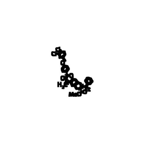 CC[C@@H](c1ccccc1)N1Cc2cc3c(cc2C[C@H]1C(=O)OC)N(C)C(=O)[C@@H](c1ccc(OCc2ccc(Cl)c(Cl)c2)cc1)O3